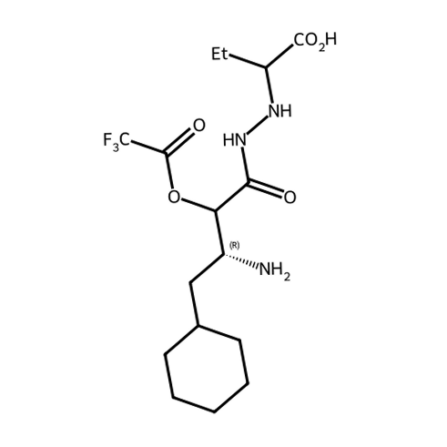 CCC(NNC(=O)C(OC(=O)C(F)(F)F)[C@H](N)CC1CCCCC1)C(=O)O